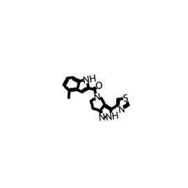 Cc1cccc2[nH]c(C(=O)N3CCc4n[nH]c(-c5cscn5)c4C3)cc12